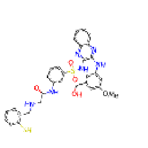 COc1cc(CO)cc(Nc2nc3ccccc3nc2NS(=O)(=O)c2cccc(NC(=O)CNCc3ccccc3S)c2)c1